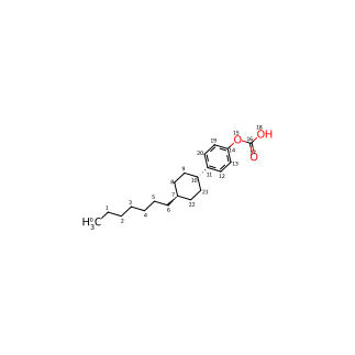 CCCCCCC[C@H]1CC[C@H](c2ccc(OC(=O)O)cc2)CC1